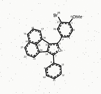 COc1ccc(-c2oc(-c3ccccc3)c3c2-c2cccc4cccc-3c24)cc1Br